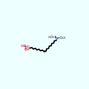 CCCCCCCCN(CCCCCCCC)CCCCCCCC/C=C\CCCCCCCCOP(O)O